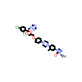 CCC(C)n1ncn(-c2ccc(N3CCN(c4ccc(OCC5CO[C@](Cn6cncn6)(c6ccc(Cl)cc6Cl)O5)cc4)CC3)c(C)c2)c1=O